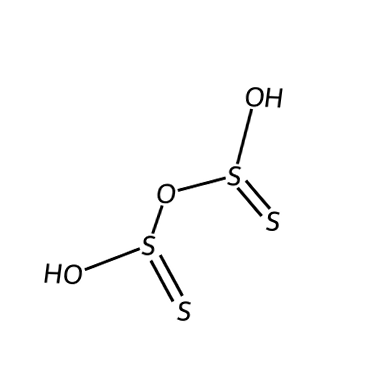 OS(=S)OS(O)=S